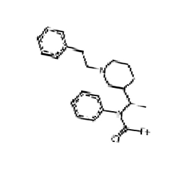 CCC(=O)N(c1ccccc1)C(C)C1CCCN(CCc2ccccc2)C1